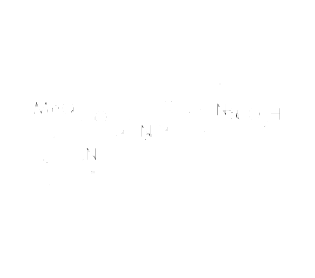 COC(=O)C1CCCCCN1C1CCN(C2CC3(CCN(C(=O)O)C3)C2)CC1